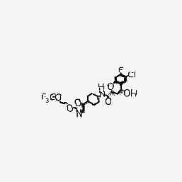 O=C(NC1CCC(c2cnc(OCCOC(F)(F)F)o2)CC1)[C@H]1C[C@@H](O)c2cc(Cl)c(F)cc2O1